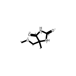 COCC1(C)NC(=O)NC1=O